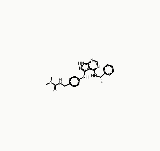 C[C@H](Nc1ncnc2[nH]nc(Nc3ccc(CNC(=O)N(C)C)cc3)c12)c1ccccc1